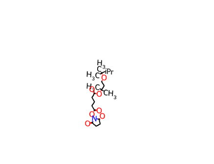 CC(C)C(C)(C)OCCC(C)(C)OC(=O)CCCC(=O)ON1C(=O)CCC1=O